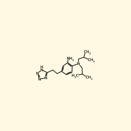 CC(C)CN(CC(C)C)c1ccc(CCc2nnn[nH]2)cc1N